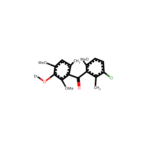 CCOc1c(OC)cc(C)c(C(=O)c2c(OC)ccc(Cl)c2C)c1OC